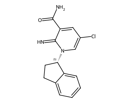 N=c1c(C(N)=O)cc(Cl)cn1[C@H]1CCc2ccccc21